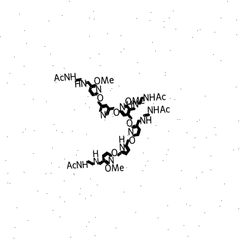 COc1nc(OCc2cncc(COc3cc(COc4nc(OCc5ccc(COc6ccc(CNCCNC(C)=O)c(OC)n6)[nH]5)ccc4CNCCNC(C)=O)c(CNCCNC(C)=O)c(OC)n3)c2)ccc1CNCCNC(C)=O